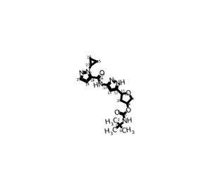 CC(C)(C)NC(=O)OC1COC(c2cc(NC(=O)c3ccnn3C3CC3)n[nH]2)C1